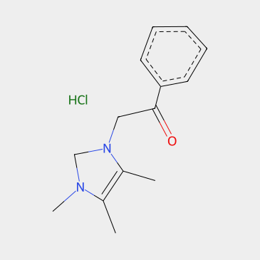 CC1=C(C)N(CC(=O)c2ccccc2)CN1C.Cl